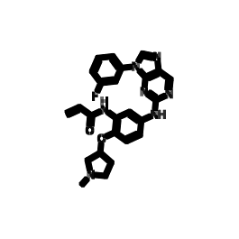 C=CC(=O)Nc1cc(Nc2ncc3ncn(-c4cccc(F)c4)c3n2)ccc1OC1CCN(C)C1